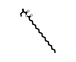 C=C(CC)C(=O)OC(=O)CCCCCCCCCCCCCCCCC